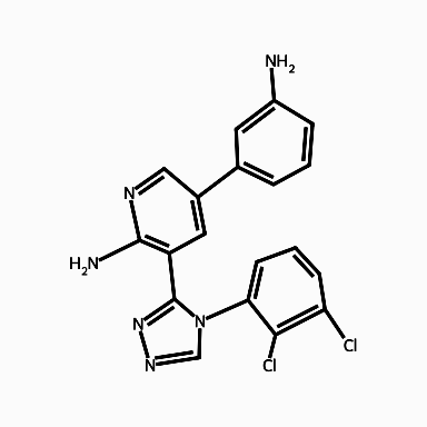 Nc1cccc(-c2cnc(N)c(-c3nncn3-c3cccc(Cl)c3Cl)c2)c1